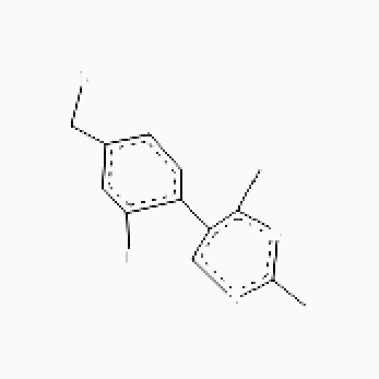 Cc1ncc(-c2ccc(CN)cc2F)c(C)n1